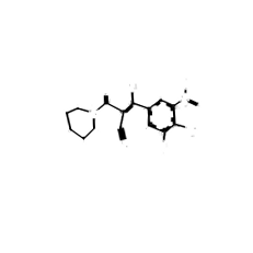 N#CC(C(=O)N1CCCCC1)=C(N)c1cc(O)c(O)c([N+](=O)[O-])c1